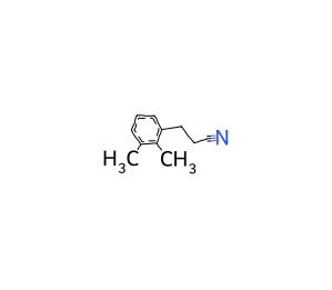 Cc1cccc(CCC#N)c1C